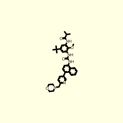 COc1c(NC(=O)Nc2ccc(-c3ccc(CN4CCOCC4)nc3)c3ccccc23)cc(C(C)(C)C)cc1NC(=O)C(C)C